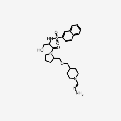 NN=CN1CCC(COCC2CCCN2C(=O)C(CO)NS(=O)(=O)c2ccc3ccccc3c2)CC1